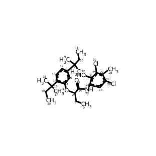 CCC(Oc1cc(C(C)(C)CC)ccc1C(C)(C)CC)C(=O)Nc1cc(Cl)c(C)c(Cl)c1O